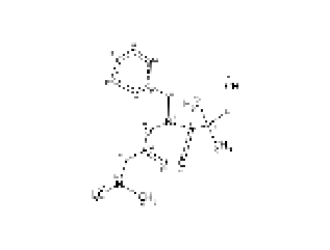 CCC(C)(C)C(=O)N(Cc1ccccc1)OC(=O)CN(C)C